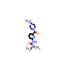 CN1CCN(C(=O)c2cccc(NC(=O)N(C)C)n2)CC1